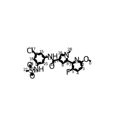 COc1ccc(F)c(-c2cc(C(=O)Nc3cc(Cl)cc(NS(C)(=O)=O)c3)cn2C)n1